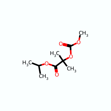 COC(=O)OC(C)(C)C(=O)OC(C)C